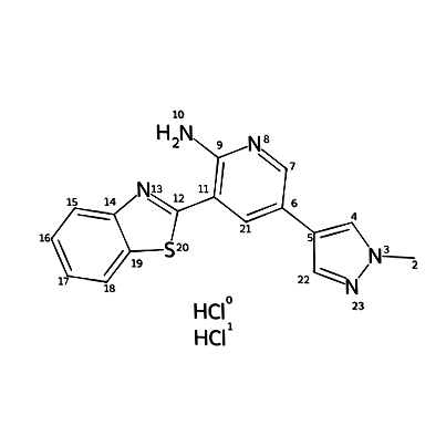 Cl.Cl.Cn1cc(-c2cnc(N)c(-c3nc4ccccc4s3)c2)cn1